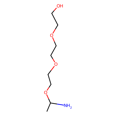 CC(N)OCCOCCOCCO